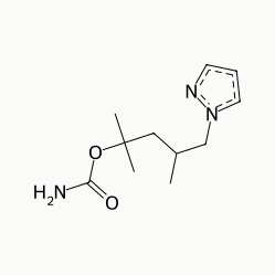 CC(Cn1cccn1)CC(C)(C)OC(N)=O